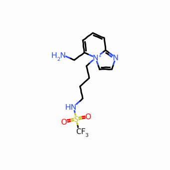 NCC1=CC=CC2=NC=C[N+]12CCCCNS(=O)(=O)C(F)(F)F